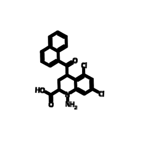 NN1c2cc(Cl)cc(Cl)c2C(C(=O)c2cccc3ccccc23)CC1C(=O)O